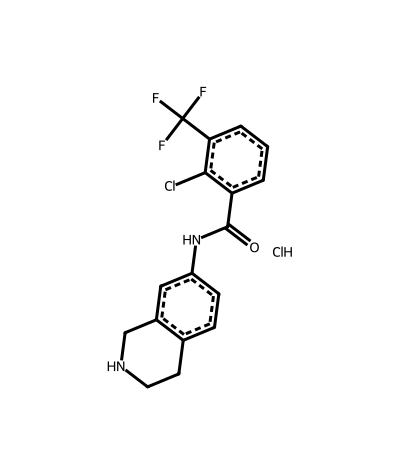 Cl.O=C(Nc1ccc2c(c1)CNCC2)c1cccc(C(F)(F)F)c1Cl